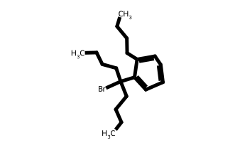 CCCCc1ccccc1C(Br)(CCCC)CCCC